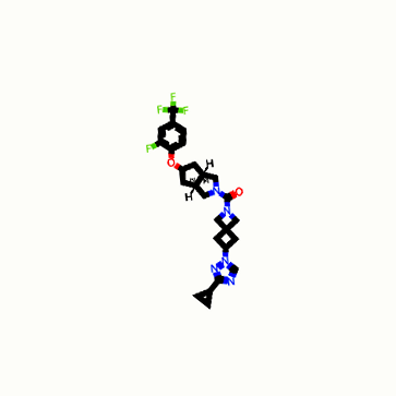 O=C(N1C[C@H]2CC(Oc3ccc(C(F)(F)F)cc3F)C[C@H]2C1)N1CC2(CC(n3cnc(C4CC4)n3)C2)C1